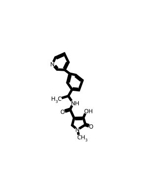 CC(NC(=O)C1=C(O)C(=O)N(C)C1)c1cccc(-c2cccnc2)c1